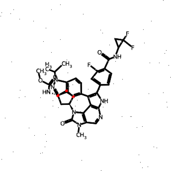 COC(=O)N[C@@H]1CC[C@@H](n2c(=O)n(C)c3cnc4[nH]c(-c5ccc(C(=O)NC6CC6(F)F)c(F)c5)c(-c5ccc6c(cnn6C(C)C)c5)c4c32)C1